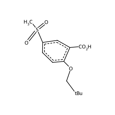 CC(C)(C)COc1ccc(S(C)(=O)=O)cc1C(=O)O